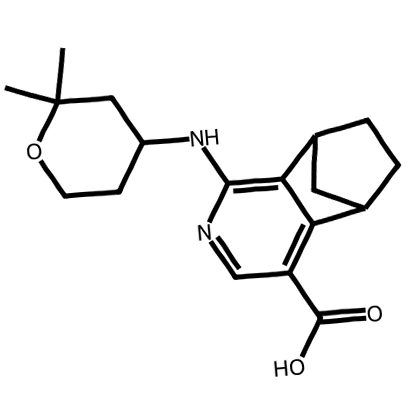 CC1(C)CC(Nc2ncc(C(=O)O)c3c2C2CCC3C2)CCO1